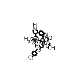 C#CC[C@H](NC(=O)[C@@H]1C[C@@H](OCc2ccc(Cl)cc2)CN1C(=O)[C@@H](CCC1CCNCC1)NS(C)(=O)=O)C(=O)c1nc2ccccc2o1